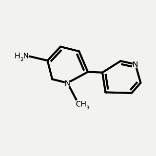 CN1CC(N)=CC=C1c1cccnc1